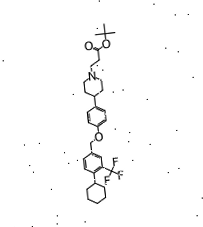 CC(C)(C)OC(=O)CCN1CCC(c2ccc(OCc3ccc(C4CCCCC4)c(C(F)(F)F)c3)cc2)CC1